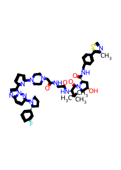 Cc1ncsc1-c1ccc(CNC(=O)[C@@H]2C[C@@H](O)CN2C(=O)[C@@H](NC(=O)CNC(=O)CN2CCN(c3cccc(-c4cnc5ccc(N6CCC[C@@H]6c6cccc(F)c6)nn45)n3)CC2)C(C)(C)C)cc1